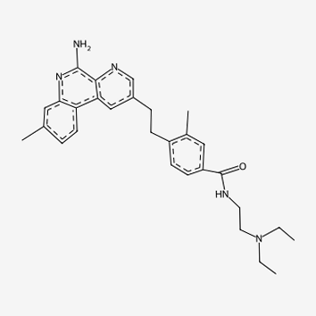 CCN(CC)CCNC(=O)c1ccc(CCc2cnc3c(N)nc4cc(C)ccc4c3c2)c(C)c1